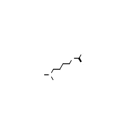 CN(C)CCCCSC(=N)N.Cl.Cl